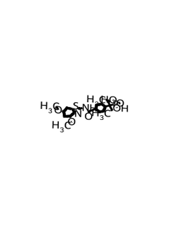 CCC(CC)(c1ccc(C(=O)Nc2nc3c(OC)cc(OC)cc3s2)cc1)P(=O)(O)O